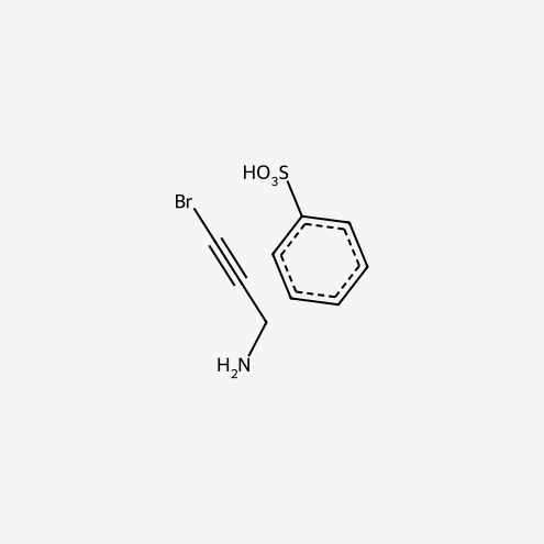 NCC#CBr.O=S(=O)(O)c1ccccc1